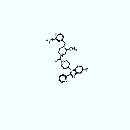 C[C@H]1CN(C(=O)N2CCC(n3c(-c4ccccn4)nc4cc(F)ccc43)CC2)CCN1Cc1ccnc(N)c1